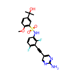 COc1ccc(C(C)(C)O)cc1S(=O)(=O)Nc1ccc(F)c(C#Cc2cnc(N)nc2)c1F